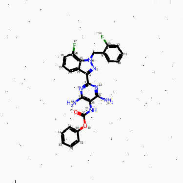 Nc1nc(-c2nn(Cc3ccccc3F)c3c(F)cccc23)nc(N)c1NC(=O)Oc1ccccc1